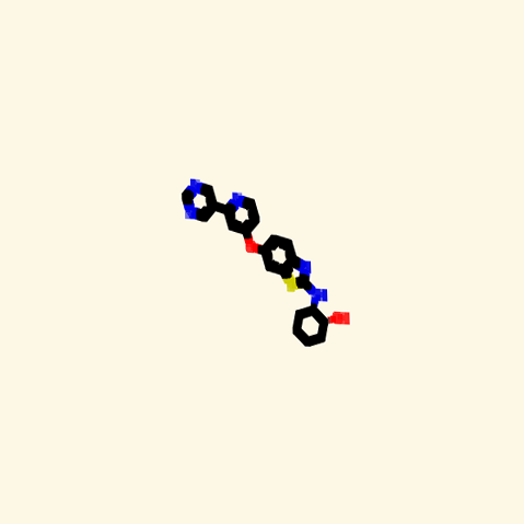 O[C@@H]1CCCC[C@H]1Nc1nc2ccc(Oc3ccnc(-c4cncnc4)c3)cc2s1